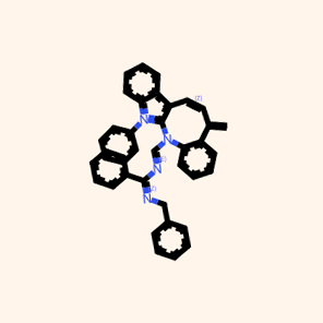 C=C1/C=C\c2c(n(-c3ccccc3)c3ccccc23)N(/C=N/C(=N\Cc2ccccc2)c2ccccc2)c2ccccc21